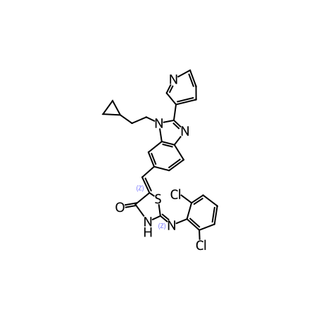 O=C1N/C(=N/c2c(Cl)cccc2Cl)S/C1=C\c1ccc2nc(-c3cccnc3)n(CCC3CC3)c2c1